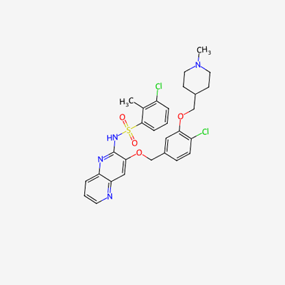 Cc1c(Cl)cccc1S(=O)(=O)Nc1nc2cccnc2cc1OCc1ccc(Cl)c(OCC2CCN(C)CC2)c1